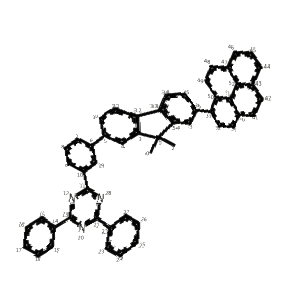 CC1(C)c2cc(-c3cccc(-c4nc(-c5ccccc5)nc(-c5ccccc5)n4)c3)ccc2-c2ccc(-c3ccc4ccc5cccc6ccc3c4c56)cc21